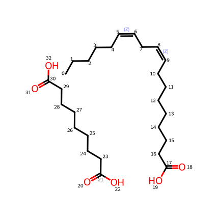 CCCCC/C=C\C/C=C\CCCCCCCC(=O)O.O=C(O)CCCCCCCC(=O)O